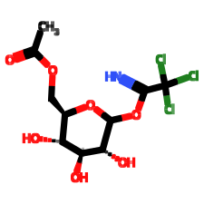 CC(=O)OC[C@H]1OC(OC(=N)C(Cl)(Cl)Cl)[C@H](O)[C@@H](O)[C@@H]1O